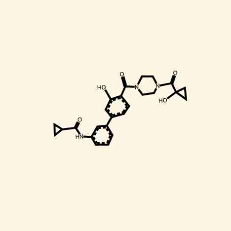 O=C(Nc1cccc(-c2ccc(C(=O)N3CCN(C(=O)C4(O)CC4)CC3)c(O)c2)c1)C1CC1